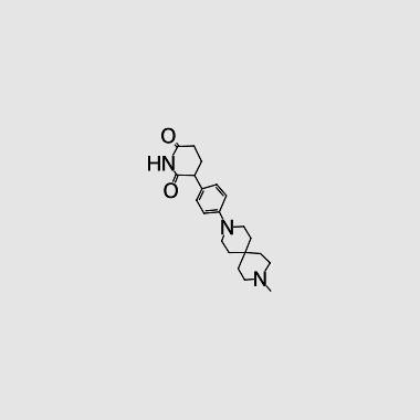 CN1CCC2(CC1)CCN(c1ccc(C3CCC(=O)NC3=O)cc1)CC2